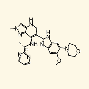 COc1cc2nc(C3=C(N[C@@H](C)c4ncccn4)c4nn(C)cc4NC3)[nH]c2cc1N1CCOCC1